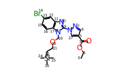 CCOC(=O)c1cnn(-c2nc3cc(Br)ccc3n2COCC[Si](C)(C)C)c1